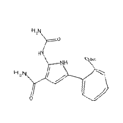 CC(=O)Oc1ccccc1-c1cc(C(N)=O)c(NC(N)=O)[nH]1